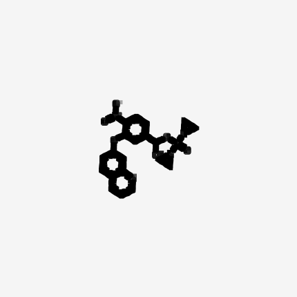 CC(OP(=O)(N1CC1)N1CC1)c1ccc([N+](=O)[O-])c(Oc2ccc3cccnc3c2)c1